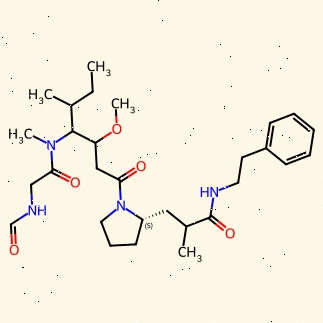 CCC(C)C(C(CC(=O)N1CCC[C@H]1CC(C)C(=O)NCCc1ccccc1)OC)N(C)C(=O)CNC=O